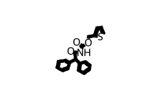 O=C(NC(=O)C(c1ccccc1)c1ccccc1)OCc1cccs1